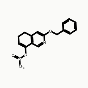 O=S(OC1=CCCc2cc(OCc3ccccc3)ncc21)C(F)(F)F